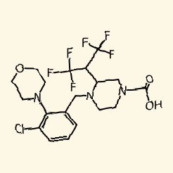 O=C(O)N1CCN(Cc2cccc(Cl)c2N2CCOCC2)C(C(C(F)(F)F)C(F)(F)F)C1